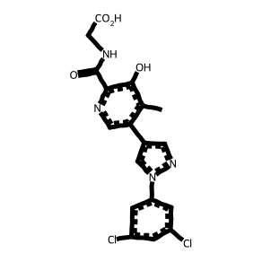 Cc1c(-c2cnn(-c3cc(Cl)cc(Cl)c3)c2)cnc(C(=O)NCC(=O)O)c1O